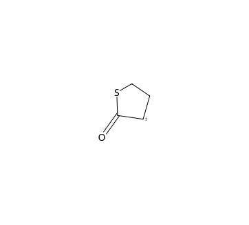 O=C1[C]CCS1